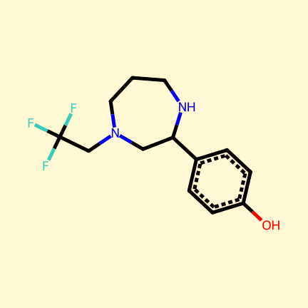 Oc1ccc(C2CN(CC(F)(F)F)CCCN2)cc1